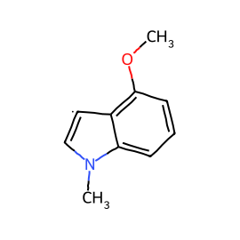 COc1cccc2c1[c]cn2C